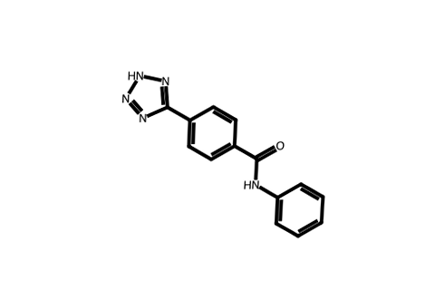 O=C(Nc1ccccc1)c1ccc(-c2nn[nH]n2)cc1